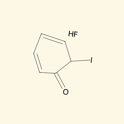 F.O=C1C=CC=CC1I